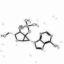 CC(C)(C)[Si](C)(C)OC12C(O)[C@@H](CO)OC1[C@H]2n1cnc2c(N)ncnc21